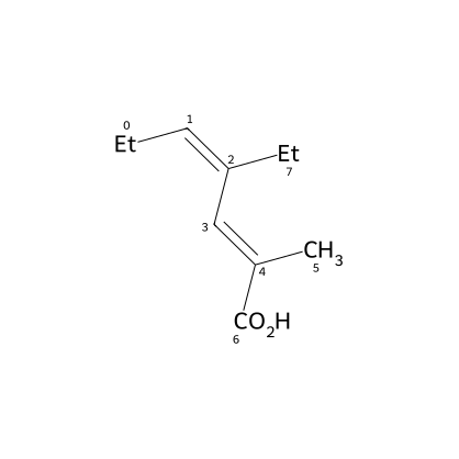 CCC=C(C=C(C)C(=O)O)CC